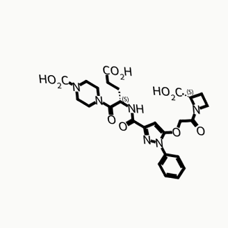 O=C(O)CC[C@H](NC(=O)c1cc(OCC(=O)N2CC[C@H]2C(=O)O)n(-c2ccccc2)n1)C(=O)N1CCN(C(=O)O)CC1